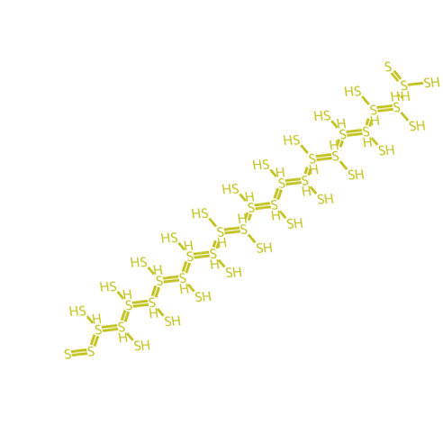 S=S=[SH](/S)=[SH](\S)=[SH](/S)=[SH](\S)=[SH](/S)=[SH](\S)=[SH](/S)=[SH](\S)=[SH](/S)=[SH](\S)=[SH](/S)=[SH](\S)=[SH](/S)=[SH](\S)=[SH](/S)=[SH](\S)=[SH](/S)=[SH](\S)=[SH](/S)=[SH](\S)=[SH](=S)\S